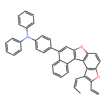 C=Cc1oc2ccc3oc4cc(-c5ccc(N(c6ccccc6)c6ccccc6)cc5)c5ccccc5c4c3c2c1/C=C\C